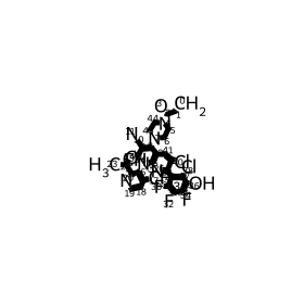 C=CC(=O)N1CCN(c2c(C#N)c(=O)n(-c3c(C)ccnc3C(C)C)c3nc(-c4c(F)c(F)c(F)c(O)c4Cl)c(Cl)cc23)CC1